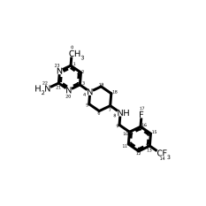 Cc1cc(N2CCC(NCc3ccc(C(F)(F)F)cc3F)CC2)nc(N)n1